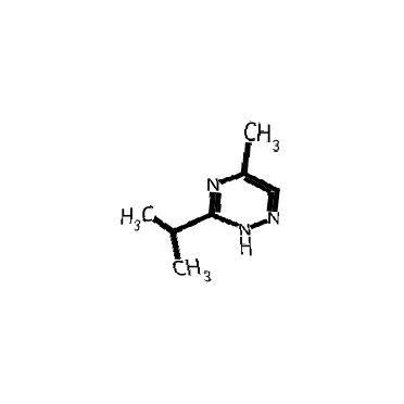 CC1=C=NNC(C(C)C)=N1